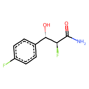 NC(=O)[C@@H](F)[C@@H](O)c1ccc(F)cc1